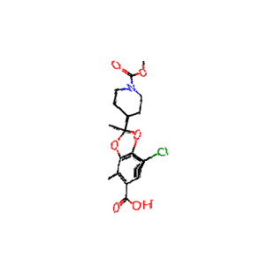 COC(=O)N1CCC(C2(C)Oc3c(Cl)cc(C(=O)O)c(C)c3O2)CC1